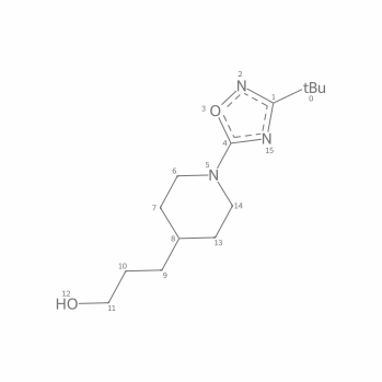 CC(C)(C)c1noc(N2CCC(CCCO)CC2)n1